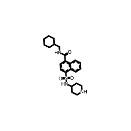 O=C(NCC1CCCCC1)c1ccc(S(=O)(=O)NC2CCNCC2)c2ccccc12